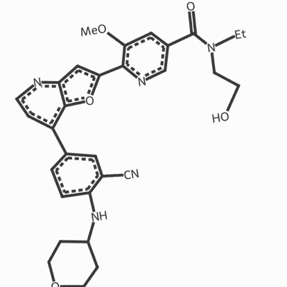 CCN(CCO)C(=O)c1cnc(-c2cc3nccc(-c4ccc(NC5CCOCC5)c(C#N)c4)c3o2)c(OC)c1